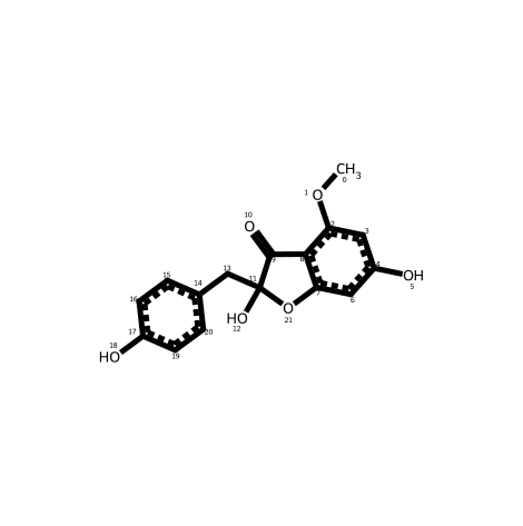 COc1cc(O)cc2c1C(=O)C(O)(Cc1ccc(O)cc1)O2